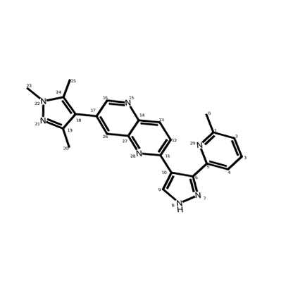 Cc1cccc(-c2n[nH]cc2-c2ccc3ncc(-c4c(C)nn(C)c4C)cc3n2)n1